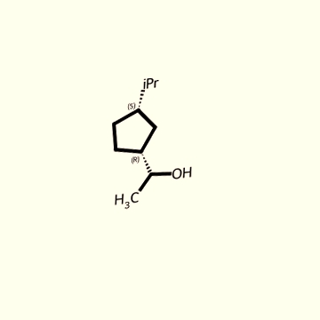 CC(C)[C@H]1CC[C@@H](C(C)O)C1